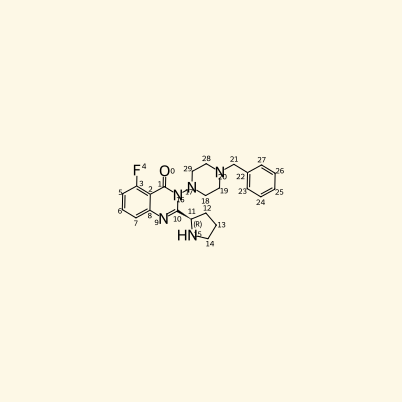 O=c1c2c(F)cccc2nc([C@H]2CCCN2)n1N1CCN(Cc2ccccc2)CC1